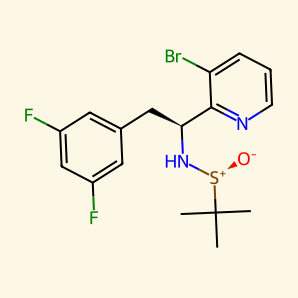 CC(C)(C)[S@+]([O-])N[C@@H](Cc1cc(F)cc(F)c1)c1ncccc1Br